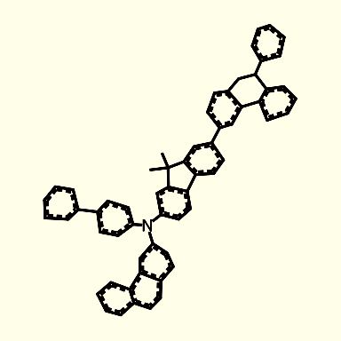 CC1(C)c2cc(-c3ccc4c(c3)-c3ccccc3C(c3ccccc3)C4)ccc2-c2ccc(N(c3ccc(-c4ccccc4)cc3)c3ccc4ccc5ccccc5c4c3)cc21